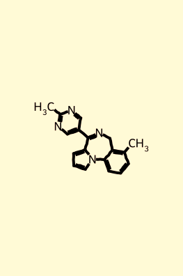 Cc1ncc(C2=NCc3c(C)cccc3-n3cccc32)cn1